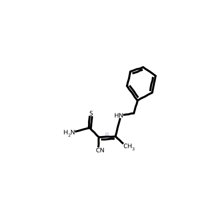 C/C(NCc1ccccc1)=C(\C#N)C(N)=S